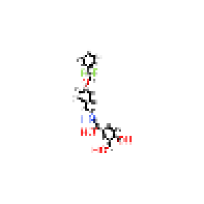 OCc1cc([C@@H](O)CNCCc2ccc(OCC(F)(F)c3ccccc3)cc2)ccc1O